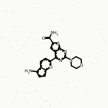 NC(=O)c1cc2c(-c3ccc4c(N)ccc-4o3)nc(N3CCOCC3)nc2s1